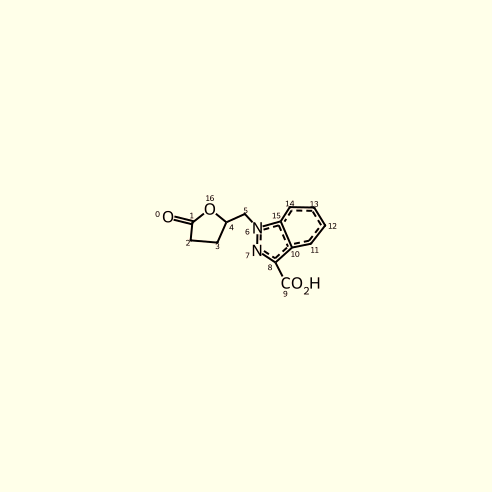 O=C1CCC(Cn2nc(C(=O)O)c3ccccc32)O1